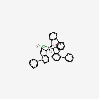 CCCC1=Cc2c(-c3ccccc3)cccc2[CH]1[Zr]([Cl])([Cl])(=[C]1c2ccccc2-c2ccccc21)[CH]1C(CCC)=Cc2c(-c3ccccc3)cccc21